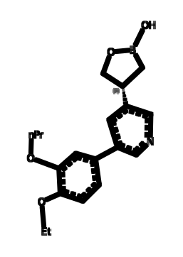 CCCOc1cc(-c2cncc([C@@H]3COB(O)C3)c2)ccc1OCC